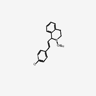 CC(C)CON1CCc2ccccc2C1C=Cc1ccc(Cl)cc1